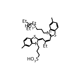 CCC(=Cc1sc2ccc(C)cc2[n+]1CCCS(=O)(=O)O)C=C1Sc2ccc(C)cc2N1CCCS(=O)(=O)O.CCN(CC)CC